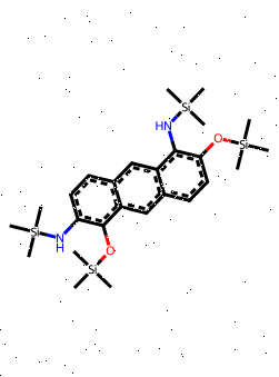 C[Si](C)(C)Nc1ccc2cc3c(N[Si](C)(C)C)c(O[Si](C)(C)C)ccc3cc2c1O[Si](C)(C)C